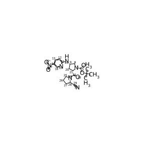 CC(C)(C)OC(=O)N1C[C@@H](Nc2ccc([N+](=O)[O-])cn2)C[C@H]1C(=O)N1CCCC1C#N